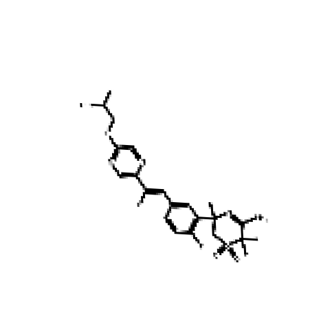 CC(O)COc1cnc(/C(F)=C/c2ccc(F)c(C3(C)CS(=O)(=O)C(C)(C)C(N)=N3)c2)cn1